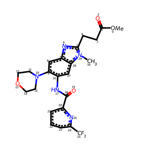 COC(=O)CCc1nc2cc(N3CCOCC3)c(NC(=O)c3cccc(C(F)(F)F)n3)cc2n1C